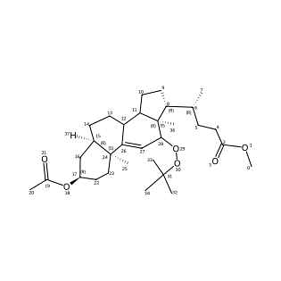 COC(=O)CC[C@@H](C)[C@H]1CCC2C3CC[C@@H]4C[C@H](OC(C)=O)CC[C@]4(C)C3=CC(OOC(C)(C)C)[C@@]21C